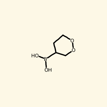 OB(O)C1CCOOC1